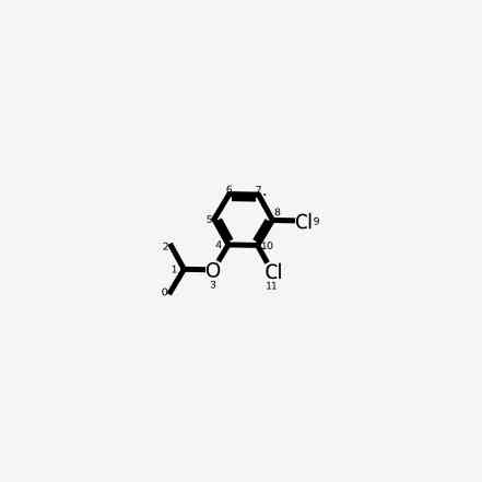 CC(C)Oc1cc[c]c(Cl)c1Cl